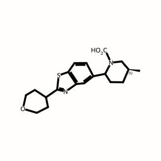 C[C@H]1CCC(c2ccc3sc(C4CCOCC4)nc3c2)N(C(=O)O)C1